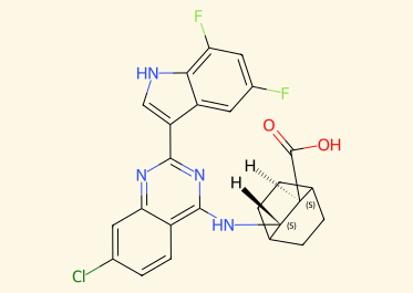 O=C(O)[C@H]1C2CCC(CC2)[C@@H]1Nc1nc(-c2c[nH]c3c(F)cc(F)cc23)nc2cc(Cl)ccc12